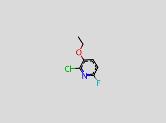 CCOc1ccc(F)nc1Cl